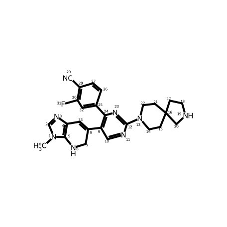 Cn1cnc2c1NCC(c1cnc(N3CCC4(CCNC4)CC3)nc1-c1ccc(C#N)c(F)c1)=C2